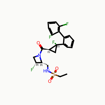 CCS(=O)(=O)NC[C@@H]1[C@H](F)CN1C(=O)[C@@H]1C[C@@]1(F)c1ccccc1-c1c(F)cccc1F